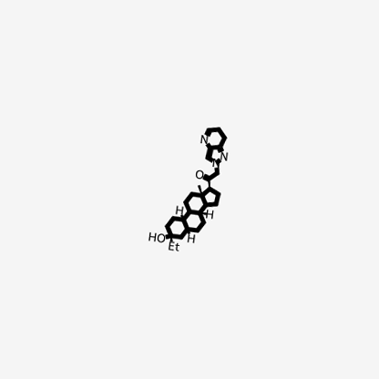 CC[C@@]1(O)CC[C@@H]2C3CC[C@@]4(C)C(CC[C@@H]4C(=O)Cn4cc5c(n4)CCC=N5)[C@@H]3CC[C@@H]2C1